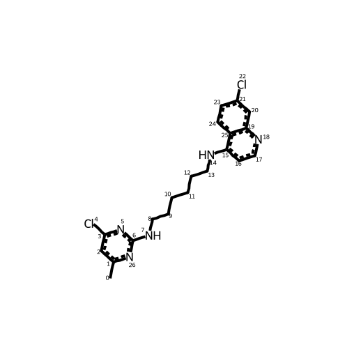 Cc1cc(Cl)nc(NCCCCCCNc2ccnc3cc(Cl)ccc23)n1